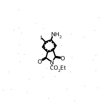 CCOC(=O)N1C(=O)c2cc(N)c(I)cc2C1=O